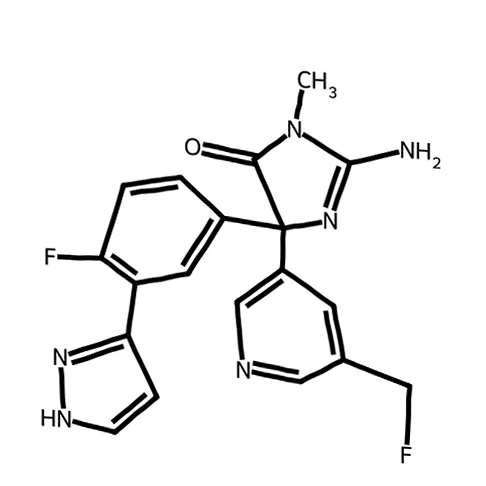 CN1C(=O)C(c2cncc(CF)c2)(c2ccc(F)c(-c3cc[nH]n3)c2)N=C1N